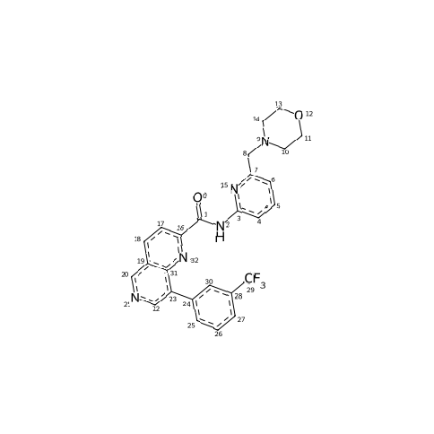 O=C(Nc1cccc(CN2CCOCC2)n1)c1ccc2cncc(-c3cccc(C(F)(F)F)c3)c2n1